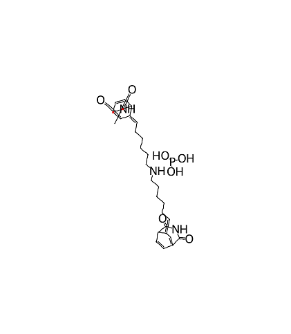 O=C1NC(=O)C2C=CC1=CC2=CCCCCCNCCCCCC=C1C=C2C=CC1C(=O)NC2=O.OP(O)O